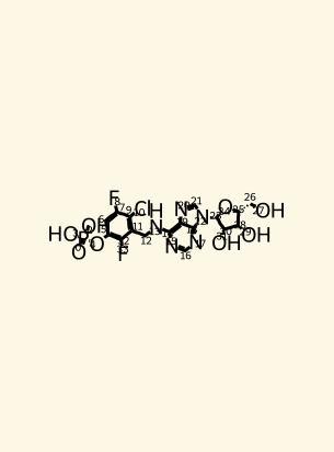 O=P(O)(O)Oc1cc(F)c(Cl)c(CNc2ncnc3c2ncn3[C@@H]2O[C@H](CO)[C@@H](O)[C@H]2O)c1F